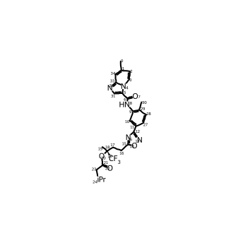 Cc1ccn2c(C(=O)Nc3cc(-c4noc(CC[C@@](C)(OC(=O)CC(C)C)C(F)(F)F)n4)ccc3C)cnc2c1